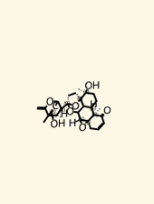 C=C1OC2C[C@@](C)(O)C1(C)C[C@H]2[C@@]12CC[C@@]3(O1)C1C(O2)[C@H]2O[C@]24CC=CC(=O)[C@]4(C)[C@H]1CC[C@]3(C)O